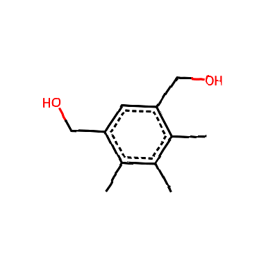 Cc1c(CO)cc(CO)c(C)c1C